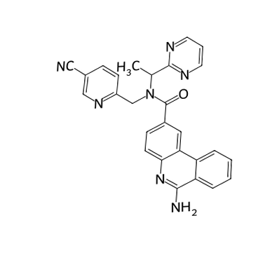 CC(c1ncccn1)N(Cc1ccc(C#N)cn1)C(=O)c1ccc2nc(N)c3ccccc3c2c1